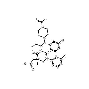 CC[C@@H](CN1CCN(C(C)=O)CC1)N1C(=O)[C@@](C)(CC(=O)O)C[C@H](c2cccc(Cl)c2)[C@H]1c1ccc(Cl)cc1